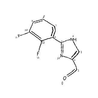 O=Cc1c[nH]c(-c2cccc(F)c2F)n1